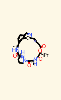 CC(C)[C@@H]1OC(=O)C/C=C/c2cc3cc(ccc3cn2)[C@@H](C)NC(=O)[C@@H]2CCCN(N2)C(=O)[C@H](C)NC1=O